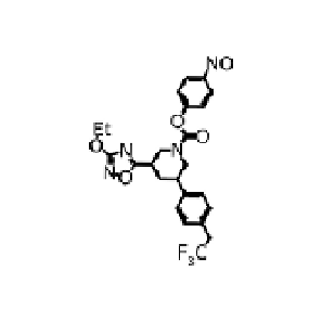 CCOc1noc(C2CC(c3ccc(CC(F)(F)F)cc3)CN(C(=O)Oc3ccc(N=O)cc3)C2)n1